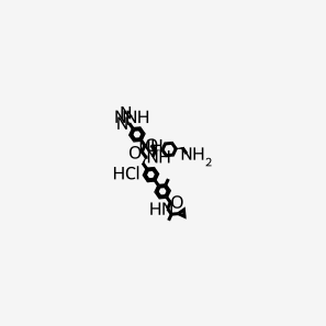 Cc1cc(C(=O)NC(C)C2CC2)ccc1-c1ccc(C[C@H](NC(=O)[C@H]2CC[C@H](CN)CC2)C(=O)Nc2ccc(-c3nnn[nH]3)cc2)cc1.Cl